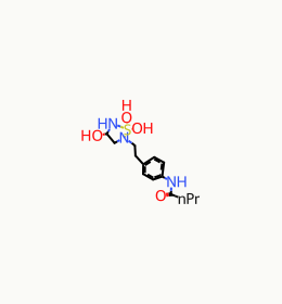 CCCC(=O)Nc1ccc(CCN2CC(O)NS2(O)O)cc1